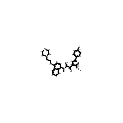 O=C(Nc1ccc(OCCN2CCOCC2)c2ccccc12)C(=O)c1cc(-c2ccc(Cl)cc2)oc1C(F)(F)F